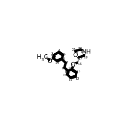 COc1cccc(CCc2ccccc2OC[C@H]2CNCCO2)c1